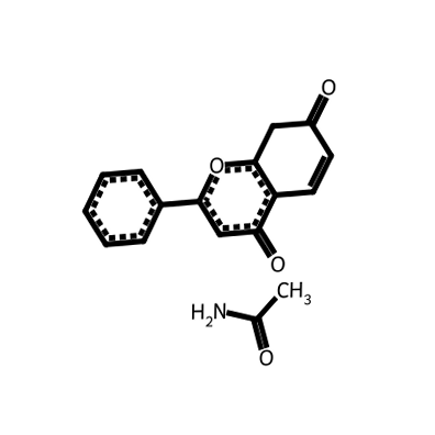 CC(N)=O.O=C1C=Cc2c(oc(-c3ccccc3)cc2=O)C1